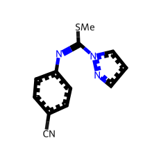 CSC(=Nc1ccc(C#N)cc1)n1cccn1